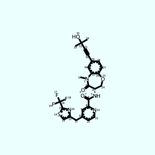 CN1C(=O)[C@@H](NC(=O)c2cc(Cc3csc(C(F)(F)F)n3)ccn2)COc2ccc(C#CC(C)(C)O)cc21